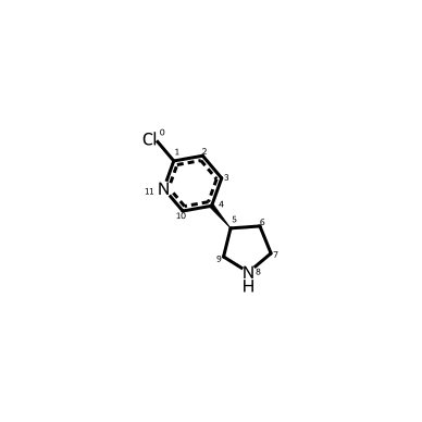 Clc1ccc([C@H]2CCNC2)cn1